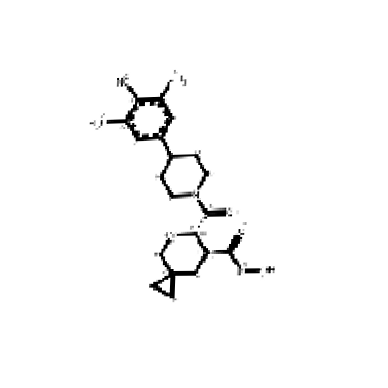 Cc1cc(C2CCN(C(=O)[C@H]3NCC4(CC4)C[C@@H]3C(=O)NO)CC2)cc(C)c1C#N